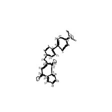 CN(C)c1ccc(-c2ccc(CC3=CC(=O)c4ccccc4C3=O)cc2)cc1